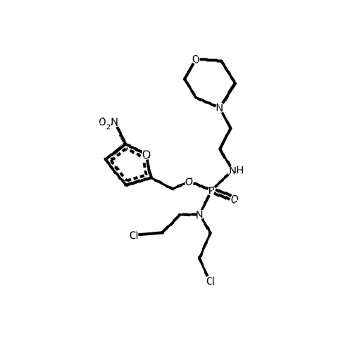 O=[N+]([O-])c1ccc(COP(=O)(NCCN2CCOCC2)N(CCCl)CCCl)o1